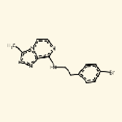 Cc1nnc2c(NCCc3ccc(Br)cc3)nccn12